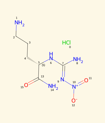 Cl.NCCC[C@H](NC(N)=N[N+](=O)[O-])C(N)=O